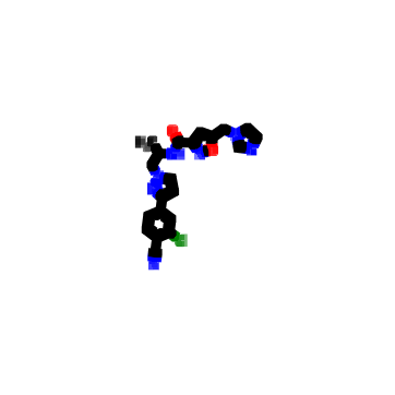 CC(Cn1ccc(-c2ccc(C#N)c(Cl)c2)n1)NC(=O)c1cc(Cn2ccnc2)on1